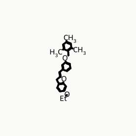 CCOc1ccc2c(c1)OC(=Cc1cccc(OCc3c(C)cc(C)cc3C)c1)C2